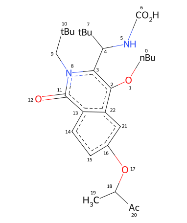 CCCCOc1c(C(NC(=O)O)C(C)(C)C)n(CC(C)(C)C)c(=O)c2ccc(OC(C)C(C)=O)cc12